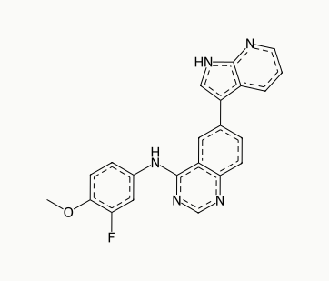 COc1ccc(Nc2ncnc3ccc(-c4c[nH]c5ncccc45)cc23)cc1F